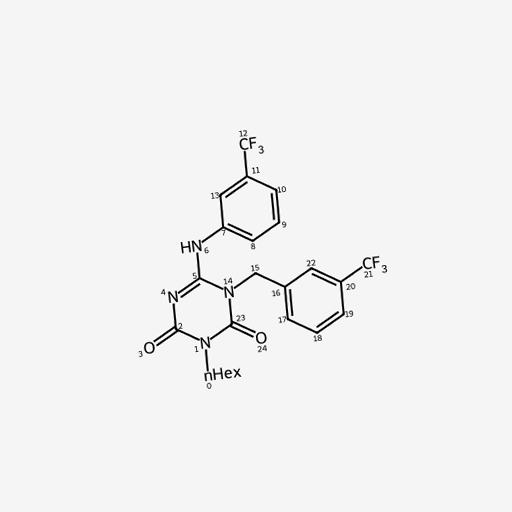 CCCCCCn1c(=O)nc(Nc2cccc(C(F)(F)F)c2)n(Cc2cccc(C(F)(F)F)c2)c1=O